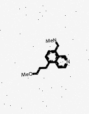 CNCc1ccc(CCCOC)c2ccncc12